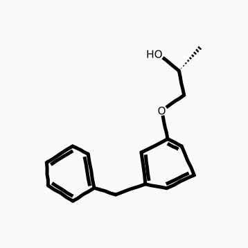 C[C@@H](O)COc1cccc(Cc2ccccc2)c1